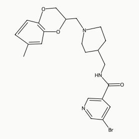 Cc1ccc2c(c1)OC(CN1CCC(CNC(=O)c3cncc(Br)c3)CC1)CO2